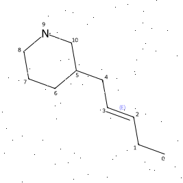 CC/C=C/CC1CCC[N]C1